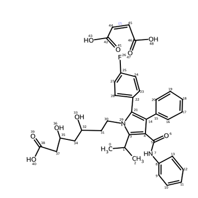 CC(C)c1c(C(=O)Nc2ccccc2)c(-c2ccccc2)c(-c2ccc(F)cc2)n1CCC(O)CC(O)CC(=O)O.O=C(O)/C=C\C(=O)O